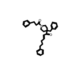 O=C(CCc1ccccc1)N1CCC(Cc2ccccc2)(C(=O)/C=C/CCCc2ccccc2)CC1